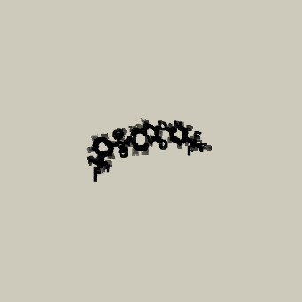 O=C1C(Oc2ccc(C(F)(F)F)cn2)CC2CN(S(=O)(=O)c3cccc(C(F)(F)F)c3)CCN12